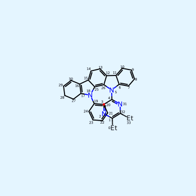 CCc1ncc(-n2c3ccccc3c3ccc4c5c(n(-c6ccccc6)c4c32)CCC=C5)nc1CC